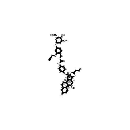 C#CCOc1cc(O[C@H]2C[C@@H](O)[C@H](O)[C@@H](CO)O2)ccc1COC(=O)Nc1ccc(OCC(=O)[C@@]23OC(CCC)O[C@@H]2C[C@H]2[C@@H]4CCC5=CC(=O)C=C[C@]5(C)[C@H]4[C@@H](O)C[C@@]23C)cc1